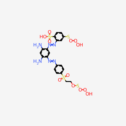 Nc1cc(N)c(/N=N/c2cc(SOOO)ccc2S(=O)(=O)O)cc1/N=N/c1ccc(S(=O)(=O)CCOSOOO)cc1